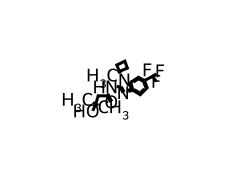 CC(C)(O)CC(=O)Nc1nc2ccc(C(F)(F)F)cc2n1C1(C)CCC1